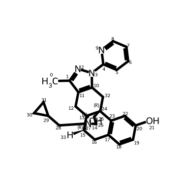 Cc1nn(-c2ccccn2)c2c1C[C@@]1(O)[C@H]3Cc4ccc(O)cc4[C@@]1(CCN3CC1CC1)C2